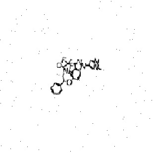 C[C@H](NC(=O)C(C)(F)F)[C@H](Oc1ccc2c(cnn2-c2cnn(C)c2)c1)c1ccccc1